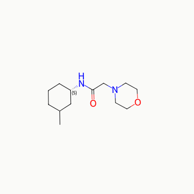 CC1CCC[C@H](NC(=O)CN2CCOCC2)C1